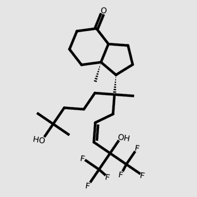 CC(C)(O)CCCC(C)(C/C=C\C(O)(C(F)(F)F)C(F)(F)F)[C@H]1CCC2C(=O)CCC[C@@]21C